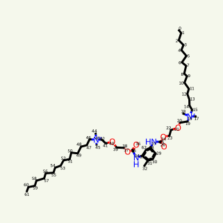 CCCCCCCCCCCCCCCC[N+](C)(C)CCOCCOC(=O)Nc1ccc(C)c(NC(=O)OCCOCC[N+](C)(C)CCCCCCCCCCCCCCCC)c1